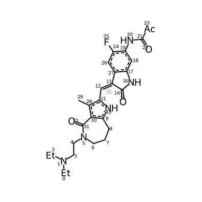 CCN(CC)CCN1CCCc2[nH]c(/C=C3\C(=O)Nc4cc(NC(=O)C(C)=O)c(F)cc43)c(C)c2C1=O